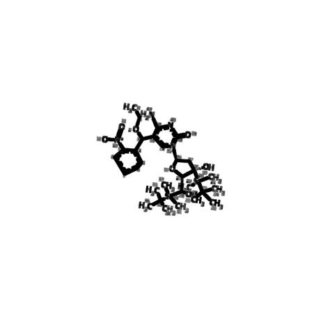 CCOC(c1ccccc1[N+](=O)[O-])c1cn([C@H]2C[C@@](O)([Si](C)(C)C(C)(C)C)[C@@H](C(O)[Si](C)(C)C(C)(C)C)O2)c(=O)nc1N